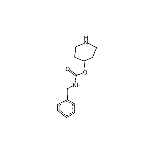 O=C(NCc1ccccc1)OC1CCNCC1